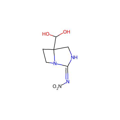 O=[N+]([O-])N=C1NCC2(C(O)O)CCN12